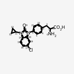 NC(Cc1ccc(-n2c(=O)n(C3CC3)c3ccc(Cl)cc32)cc1)C(=O)O